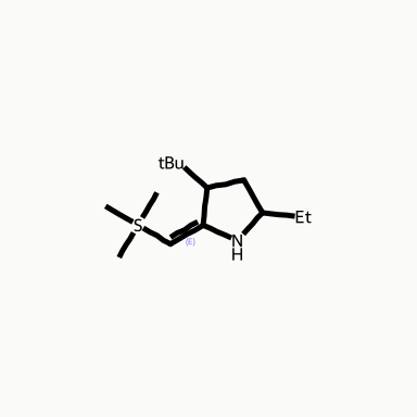 CCC1CC(C(C)(C)C)/C(=C\S(C)(C)C)N1